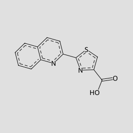 O=C(O)c1csc(-c2ccc3ccccc3n2)n1